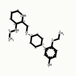 CCOc1ccc(O)cc1[C@H]1CC[C@@H](OCC2NCCCC2NSC)CC1